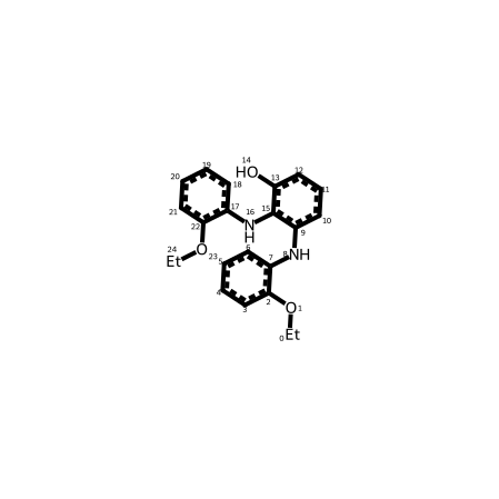 CCOc1ccccc1Nc1cccc(O)c1Nc1ccccc1OCC